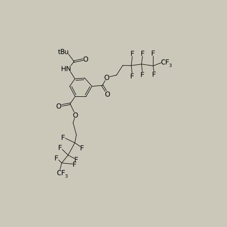 CC(C)(C)C(=O)Nc1cc(C(=O)OCCC(F)(F)C(F)(F)C(F)(F)C(F)(F)F)cc(C(=O)OCCC(F)(F)C(F)(F)C(F)(F)C(F)(F)F)c1